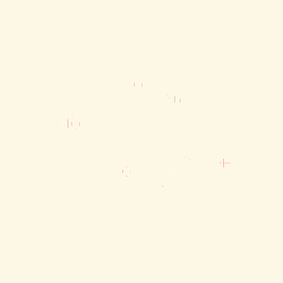 O=C(O)/C=C\C(=O)O.[O]=[Sn]